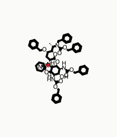 C[C@@H]([C@H]1OC(O[C@@H]2[C@@H](NC(=O)OCc3ccccc3)[C@H](O)[C@@H](NC(=O)OCc3ccccc3)[C@@H]3OC4(CCCCC4)O[C@@H]23)[C@H](N=[N+]=[N-])C[C@@H]1OCc1ccccc1)N(Cc1ccccc1)C(=O)OCc1ccccc1